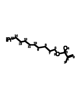 C=C(C)C(=O)OCCCCCCCCCC(C)C